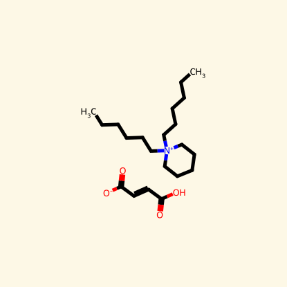 CCCCCC[N+]1(CCCCCC)CCCCC1.O=C([O-])C=CC(=O)O